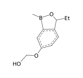 CCC1OB(C)c2cc(OCO)ccc21